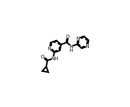 O=C(Nc1cnccn1)c1ccnc(NC(=O)C2CC2)c1